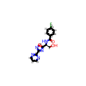 O=C(N[C@@H](CO)c1nc(-c2ncccn2)no1)c1ccc(F)cc1